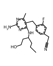 CCCC(CCO)Nc1nc(N)nc(C)c1Cc1ccc(CC#N)cc1F